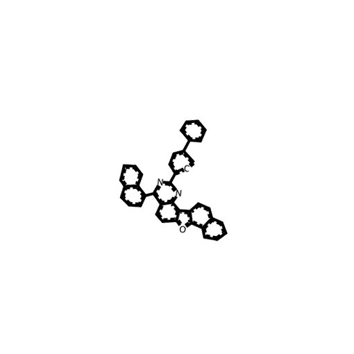 c1ccc(-c2ccc(-c3nc(-c4cccc5ccccc45)c4ccc5oc6c7ccccc7ccc6c5c4n3)cc2)cc1